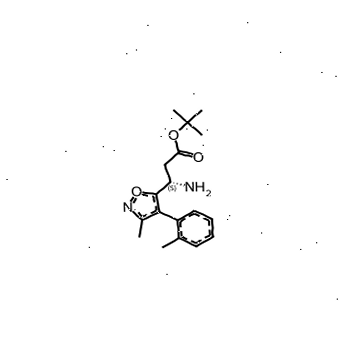 Cc1ccccc1-c1c(C)noc1[C@@H](N)CC(=O)OC(C)(C)C